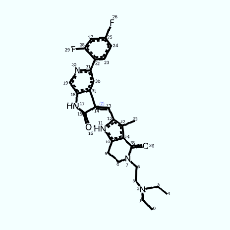 CCN(CC)CCN1CCc2[nH]c(/C=C3\C(=O)Nc4cnc(-c5ccc(F)cc5F)cc43)c(C)c2C1=O